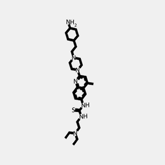 CCN(CC)CCNC(=S)Nc1ccc2nc(N3CCN(CCC4CCC(N)CC4)CC3)cc(C)c2c1